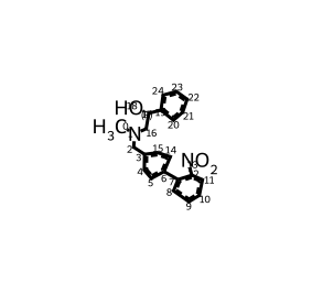 CN(Cc1ccc(-c2ccccc2[N+](=O)[O-])cc1)C[C@H](O)c1ccccc1